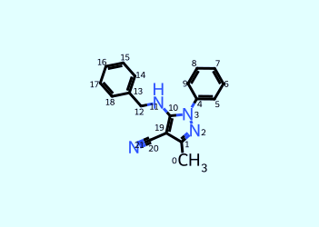 Cc1nn(-c2ccccc2)c(NCc2ccccc2)c1C#N